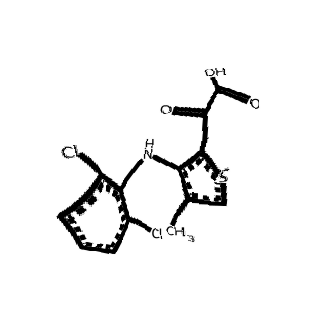 Cc1csc(C(=O)C(=O)O)c1Nc1c(Cl)cccc1Cl